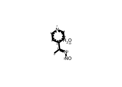 CC(=NN=O)c1ccncc1.O